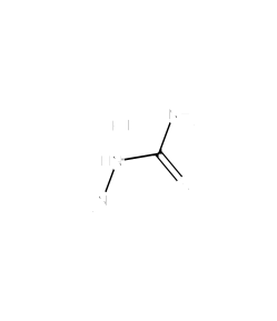 NNC(N)=S.[Pd]